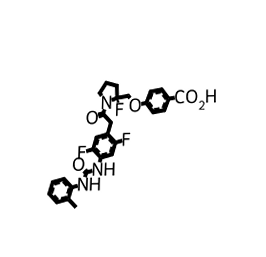 Cc1ccccc1NC(=O)Nc1cc(F)c(CC(=O)N2CCC[C@]2(F)COc2ccc(C(=O)O)cc2)cc1F